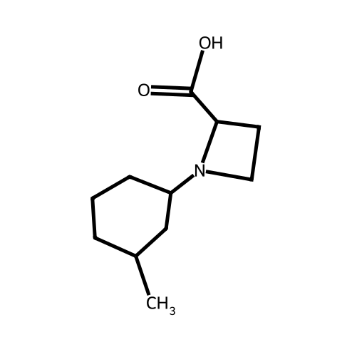 CC1CCCC(N2CCC2C(=O)O)C1